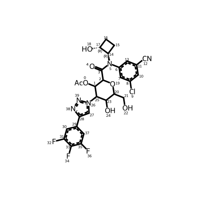 CC(=O)OC1C(C(=O)N(c2cc(Cl)cc(C#N)c2)[C@@H]2CC[C@H]2O)OC(CO)C(O)C1n1cc(-c2cc(F)c(F)c(F)c2)nn1